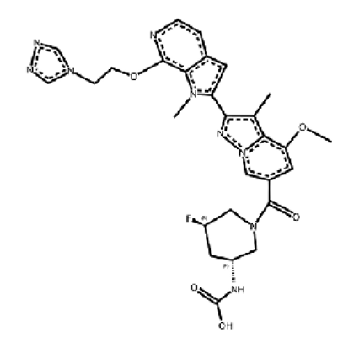 COc1cc(C(=O)N2C[C@H](F)C[C@@H](NC(=O)O)C2)cn2nc(-c3cc4ccnc(OCCn5cnnc5)c4n3C)c(C)c12